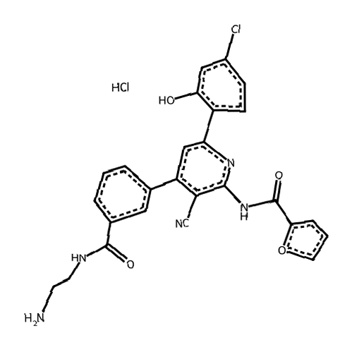 Cl.N#Cc1c(-c2cccc(C(=O)NCCN)c2)cc(-c2ccc(Cl)cc2O)nc1NC(=O)c1ccco1